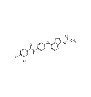 CC(=O)OC1=CCc2c(Oc3ccc(NC(=O)c4ccc(Cl)c(Cl)c4)cn3)cccc21